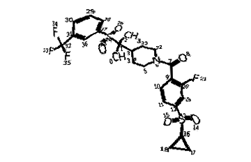 CC(C)(C1CCN(C(=O)c2ccc(S(=O)(=O)C3CC3)cc2F)CC1)S(=O)(=O)c1cccc(C(F)(F)F)c1